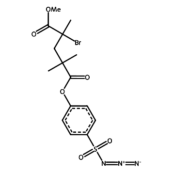 COC(=O)C(C)(Br)CC(C)(C)C(=O)Oc1ccc(S(=O)(=O)N=[N+]=[N-])cc1